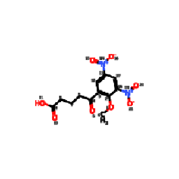 COc1c(C(=O)CCCC(=O)O)cc([N+](=O)[O-])cc1[N+](=O)[O-]